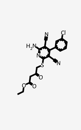 CCOC(=O)CC(=O)CSc1nc(N)c(C#N)c(-c2cccc(Cl)c2)c1C#N